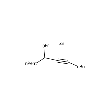 CCCCC#CC(CCC)CCCCC.[Zn]